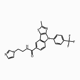 Cc1nc2c(s1)c1cc(C(=O)NCCn3ccnc3)ccc1n2-c1ccc(C(F)(F)F)cc1